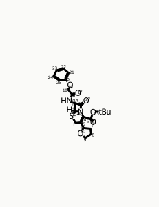 CC(C)(C)OC(=O)C1=C(C2CCCO2)CS[C@@H]2[C@H](NC(=O)COc3ccccc3)C(=O)N12